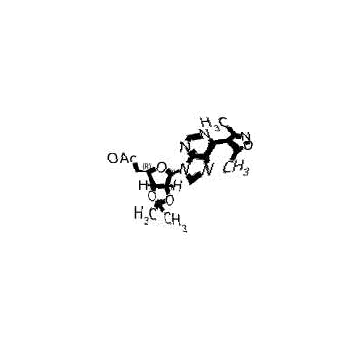 CC(=O)OC[C@H]1O[C@@H](n2cnc3c(-c4c(C)noc4C)ncnc32)[C@@H]2OC(C)(C)O[C@@H]21